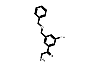 BCC(=O)c1cc(COCc2ccccc2)cc(C(C)(C)C)c1